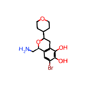 NCC1OC(C2CCOCC2)Cc2c1cc(Br)c(O)c2O